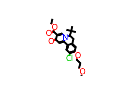 CCOC(=O)c1cn2c(cc1=O)-c1cc(Cl)c(OCCCOC)cc1CC2C(C)(C)C